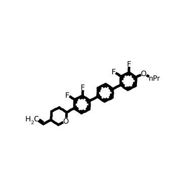 C=CC1CCC(c2ccc(-c3ccc(-c4ccc(OCCC)c(F)c4F)cc3)c(F)c2F)OC1